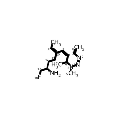 C=C/N=N\N(C)C(C)/C=C\C(=C/C)CCC(N)CF